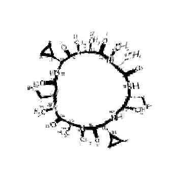 CC(C)C[C@H]1NC(=O)[C@@H](C)N(C)C(=O)[C@H](C)N(C)C(=O)[C@H](C2CC2)NC(=O)[C@H](CC(C)C)N(C)C(=O)[C@H](C)N(C)C(=O)[C@@H](C2CC2)NC1O